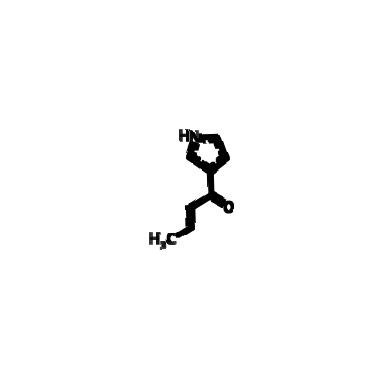 C/C=C/C(=O)c1cc[nH]c1